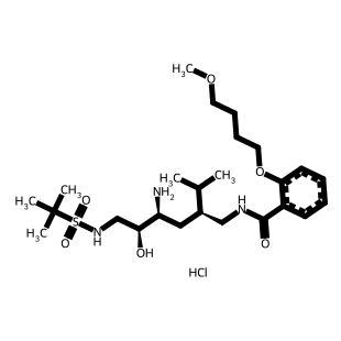 COCCCCOc1ccccc1C(=O)NC[C@@H](C[C@H](N)[C@@H](O)CNS(=O)(=O)C(C)(C)C)C(C)C.Cl